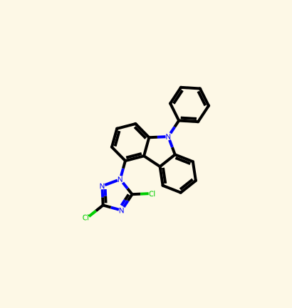 Clc1nc(Cl)n(-c2cccc3c2c2ccccc2n3-c2ccccc2)n1